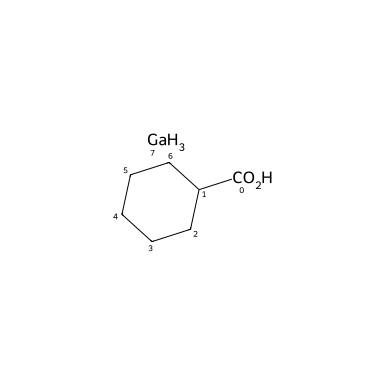 O=C(O)C1CCCCC1.[GaH3]